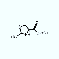 CCCCC1N[C@H](C(=O)OC(C)(C)C)CS1